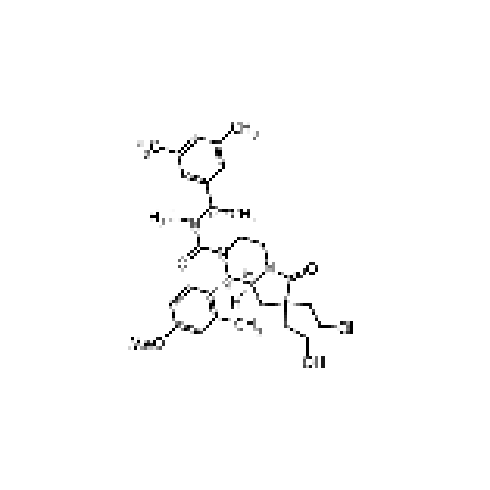 COc1ccc([C@H]2[C@@H]3CC(CCO)(CCO)C(=O)N3CCN2C(=O)N(C)[C@H](C)c2cc(C)cc(C(F)(F)F)c2)c(C)c1